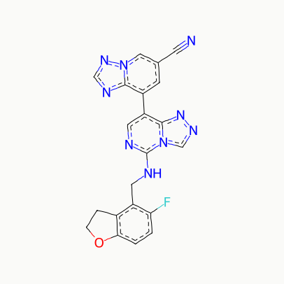 N#Cc1cc(-c2cnc(NCc3c(F)ccc4c3CCO4)n3cnnc23)c2ncnn2c1